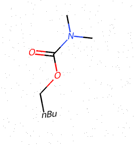 [CH2]CCCCOC(=O)N(C)C